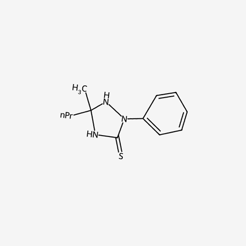 CCCC1(C)NC(=S)N(c2ccccc2)N1